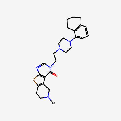 CCN1CCc2sc3ncn(CCN4CCN(c5cccc6c5CCCC6)CC4)c(=O)c3c2C1